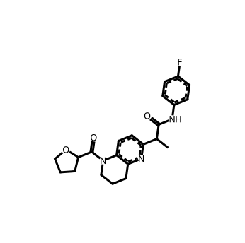 CC(C(=O)Nc1ccc(F)cc1)c1ccc2c(n1)CCCN2C(=O)C1CCCO1